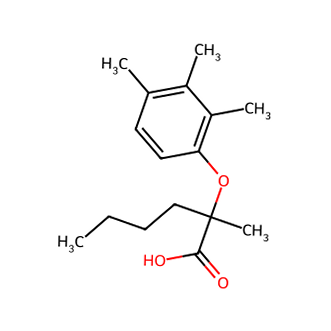 CCCCC(C)(Oc1ccc(C)c(C)c1C)C(=O)O